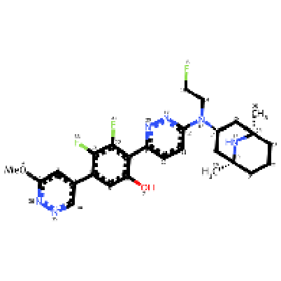 COc1cc(-c2cc(O)c(-c3ccc(N(CCF)[C@@H]4C[C@]5(C)CCC[C@](C)(C4)N5)nn3)c(F)c2F)cnn1